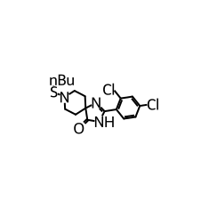 CCCCSN1CCC2(CC1)N=C(c1ccc(Cl)cc1Cl)NC2=O